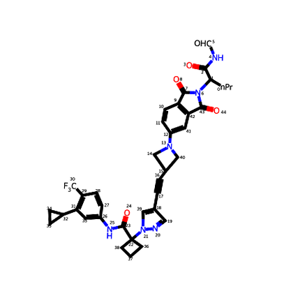 CCCC(C(=O)NC=O)N1C(=O)c2ccc(N3CC(C#Cc4cnn(C5(C(=O)Nc6ccc(C(F)(F)F)c(C7CC7)c6)CCC5)c4)C3)cc2C1=O